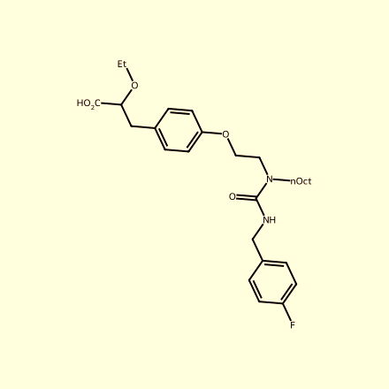 CCCCCCCCN(CCOc1ccc(CC(OCC)C(=O)O)cc1)C(=O)NCc1ccc(F)cc1